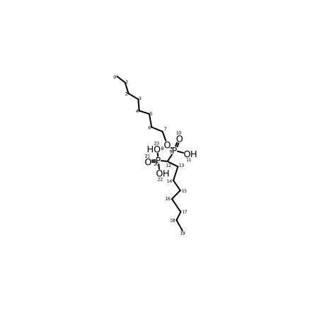 CCCCCCCCOP(=O)(O)C(CCCCCCC)P(=O)(O)O